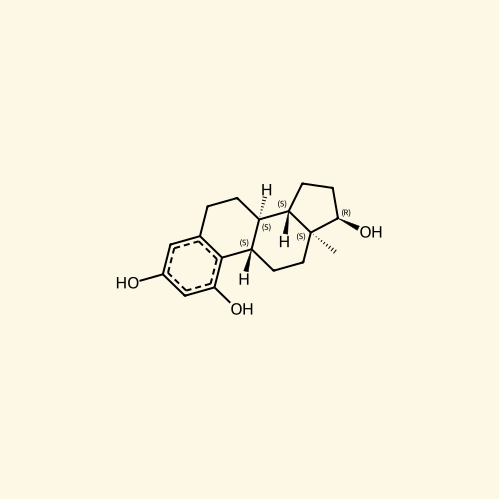 C[C@]12CC[C@@H]3c4c(O)cc(O)cc4CC[C@H]3[C@@H]1CC[C@H]2O